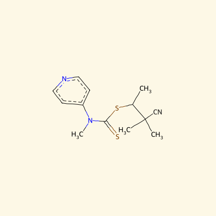 CC(SC(=S)N(C)c1ccncc1)C(C)(C)C#N